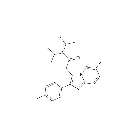 Cc1ccc(-c2nc3ccc(C)nn3c2CC(=O)N(C(C)C)C(C)C)cc1